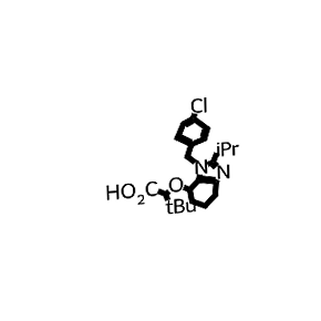 CC(C)c1nc2c(n1Cc1ccc(Cl)cc1)C(OC(C(=O)O)C(C)(C)C)CCC2